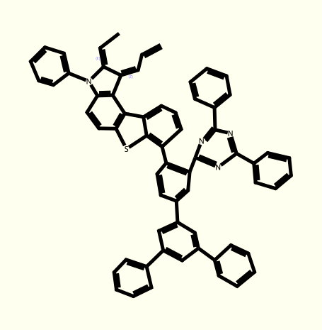 C=C/C=c1\c(=C/C)n(-c2ccccc2)c2ccc3sc4c(-c5ccc(-c6cc(-c7ccccc7)cc(-c7ccccc7)c6)cc5-c5nc(-c6ccccc6)nc(-c6ccccc6)n5)cccc4c3c12